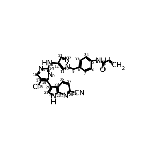 C=CC(=O)Nc1ccc(Cn2cc(Nc3ncc(Cl)c(-c4c[nH]c5nc(C#N)ccc45)n3)cn2)cc1